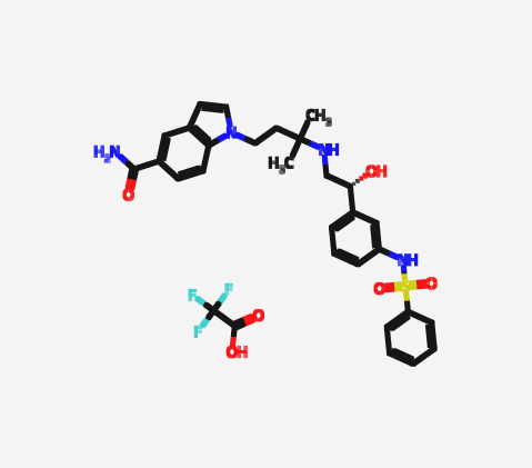 CC(C)(CCn1ccc2cc(C(N)=O)ccc21)NC[C@H](O)c1cccc(NS(=O)(=O)c2ccccc2)c1.O=C(O)C(F)(F)F